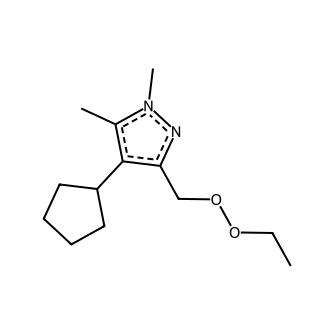 CCOOCc1nn(C)c(C)c1C1CCCC1